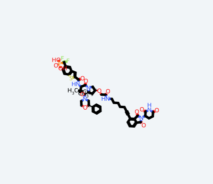 CC(C)(C)C(NC(=O)c1cc2cc(C(F)(F)P(=O)(O)O)ccc2s1)C(=O)N1C[C@@H](OCC(=O)NCCCCCC#Cc2cccc3c2C(=O)N(C2CCC(=O)NC2=O)C3=O)C[C@H]1C(=O)N1CCO[C@H](c2ccccc2)C1